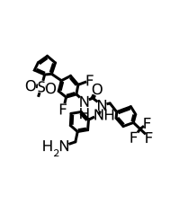 CS(=O)(=O)c1ccccc1-c1cc(F)c(NC(=O)N(Cc2ccc(C(F)(F)F)cc2)Nc2cccc(CN)c2)c(F)c1